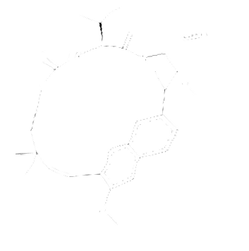 COc1cc2ccc3cc2cc1/C=C\C(C)(C)CCOC(=O)N[C@@H](C(C)C)C(=O)N1C[C@@]3(OC)C[C@H]1C=O